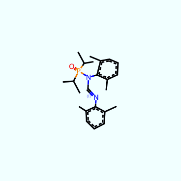 Cc1cccc(C)c1/N=C/N(c1c(C)cccc1C)P(=O)(C(C)C)C(C)C